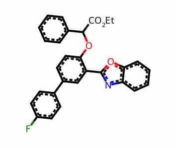 CCOC(=O)C(Oc1ccc(-c2ccc(F)cc2)cc1-c1nc2ccccc2o1)c1ccccc1